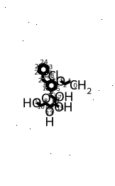 C=CCOc1cc([C@@H]2OC(CO)[C@@H](O)C(O)[C@H]2O)cc(Cc2ccccc2)c1Cl